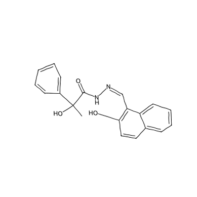 CC(O)(C(=O)N/N=C\c1c(O)ccc2ccccc12)c1ccccc1